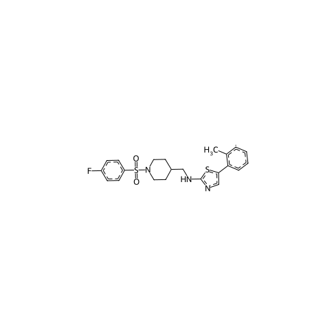 Cc1[c]cccc1-c1cnc(NCC2CCN(S(=O)(=O)c3ccc(F)cc3)CC2)s1